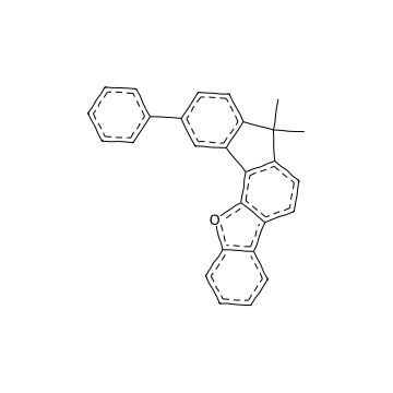 CC1(C)c2ccc(-c3ccccc3)cc2-c2c1ccc1c2oc2ccccc21